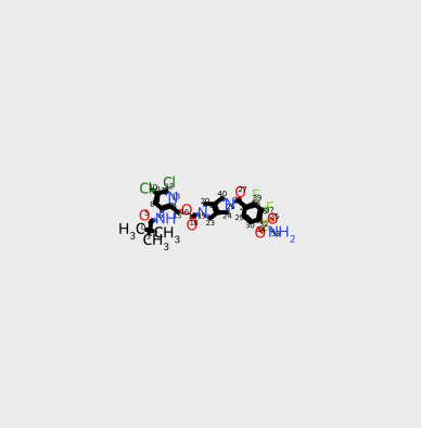 CC(C)(C)C(=O)Nc1cc(Cl)c(Cl)nc1COC(=O)N1CC2=C(C1)CN(C(=O)c1ccc(S(N)(=O)=O)c(F)c1F)C2